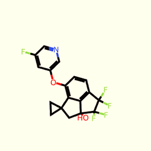 OC12CC3(CC3)c3c(Oc4cncc(F)c4)ccc(c31)C(F)(F)C2(F)F